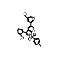 COc1ccccc1-c1cn(S(=O)(=O)c2ccc(C)cc2)c2ncc(-c3cncc(C=O)c3)cc12